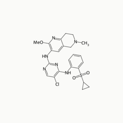 COc1nc2c(cc1Nc1ncc(Cl)c(Nc3ccccc3S(=O)(=O)C3CC3)n1)CN(C)CC2